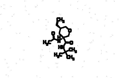 C=C[C@H]1COC[C@@](NC(C)=O)(C(=O)NC(C)(C)C)C1